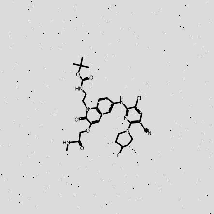 CNC(=O)COc1cc2cc(Nc3nc(N4C[C@@H](C)C(F)[C@@H](C)C4)c(C#N)cc3Cl)ccc2n(CCNC(=O)OC(C)(C)C)c1=O